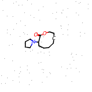 O=C1OCCCCCCCC1N1CCCC1